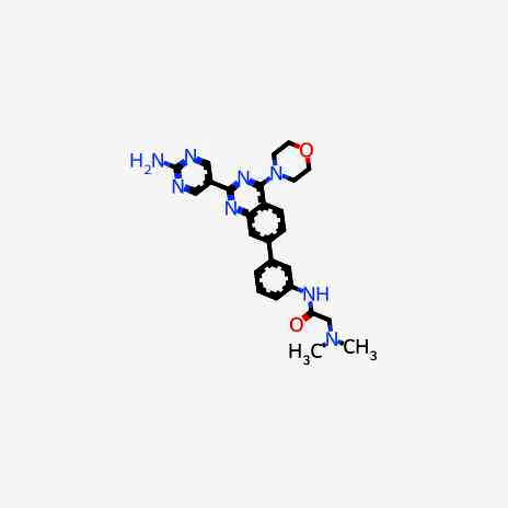 CN(C)CC(=O)Nc1cccc(-c2ccc3c(N4CCOCC4)nc(-c4cnc(N)nc4)nc3c2)c1